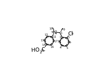 C[C@@H](c1ccccc1Cl)N(C)c1ccc(C(=O)O)cc1